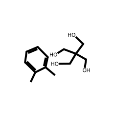 Cc1ccccc1C.OCC(CO)(CO)CO